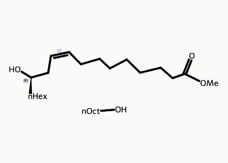 CCCCCCCCO.CCCCCC[C@@H](O)C/C=C\CCCCCCCC(=O)OC